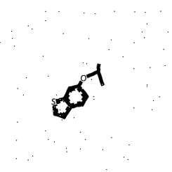 CC(C)Oc1ccc2ccsc2c1